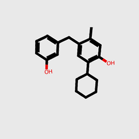 Cc1cc(O)c(C2CCCCC2)cc1Cc1cccc(O)c1